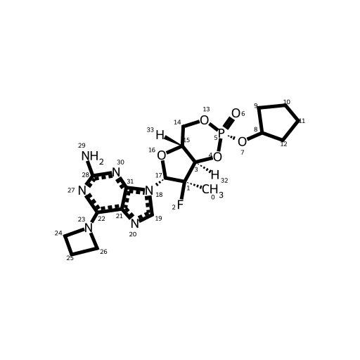 C[C@@]1(F)[C@@H]2O[P@@](=O)(OC3CCCC3)OC[C@H]2O[C@H]1n1cnc2c(N3CCC3)nc(N)nc21